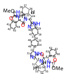 COC(=O)N[C@@H](C(=O)N1[C@H](c2ncc(-c3ccc(-c4ccc5[nH]c([C@@H]6C[C@@H]7CCCC[C@@H]7N6C(=O)[C@H](NC(=O)OC)c6ccccc6)nc5c4)cc3)[nH]2)C[C@@H]2CCCC[C@@H]21)c1ccccc1